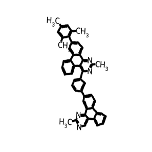 Cc1cc(C)c(-c2ccc3c(c2)c2ccccc2c2c(-c4cccc(-c5ccc6c7ccccc7c7cnc(C)nc7c6c5)c4)nc(C)nc32)c(C)c1